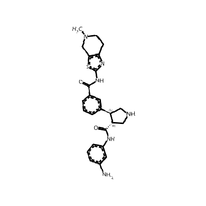 CN1CCc2nc(NC(=O)c3cccc([C@H]4CNC[C@@H]4C(=O)Nc4cccc(N)c4)c3)sc2C1